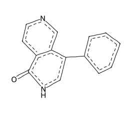 O=c1[nH]cc(-c2ccccc2)c2cnccc12